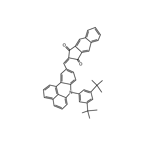 CC(C)(C)c1cc(N2c3ccc(C=C4C(=O)c5cc6ccccc6cc5C4=O)cc3-c3cccc4cccc2c34)cc(C(C)(C)C)c1